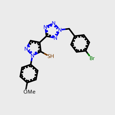 COc1ccc(-n2ncc(-c3nnn(Cc4ccc(Br)cc4)n3)c2S)cc1